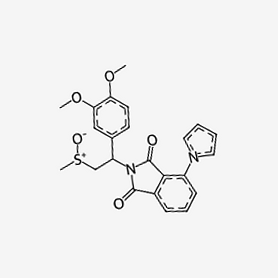 COc1ccc(C(C[S+](C)[O-])N2C(=O)c3cccc(-n4cccc4)c3C2=O)cc1OC